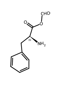 N[C@@H](Cc1ccccc1)C(=O)O[C]=O